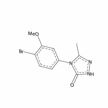 COc1cc(-n2c(C)n[nH]c2=O)ccc1Br